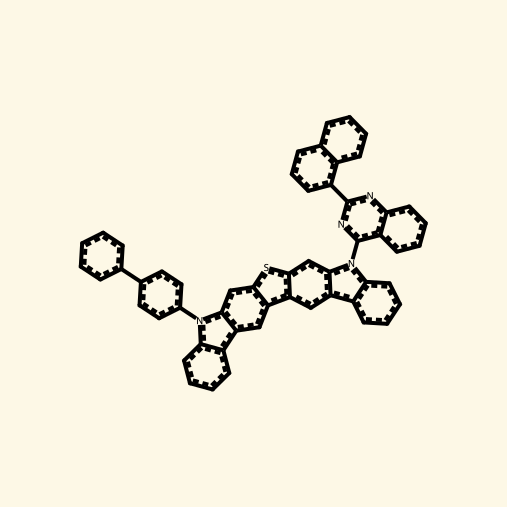 c1ccc(-c2ccc(-n3c4ccccc4c4cc5c(cc43)sc3cc4c(cc35)c3ccccc3n4-c3nc(-c4cccc5ccccc45)nc4ccccc34)cc2)cc1